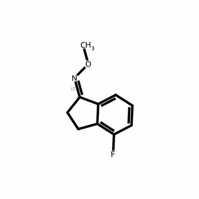 CO/N=C1/CCc2c(F)cccc21